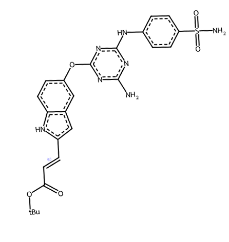 CC(C)(C)OC(=O)/C=C/c1cc2cc(Oc3nc(N)nc(Nc4ccc(S(N)(=O)=O)cc4)n3)ccc2[nH]1